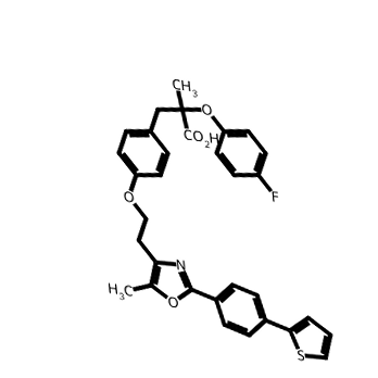 Cc1oc(-c2ccc(-c3cccs3)cc2)nc1CCOc1ccc(CC(C)(Oc2ccc(F)cc2)C(=O)O)cc1